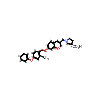 O=C(O)C1CCN(CC2=Cc3c(F)cc(OCc4ccc(Oc5ccccc5)cc4C(F)(F)F)cc3OC2)C1